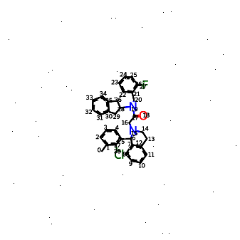 Cc1cccc(C2c3ccccc3CCN2CC(=O)N(Cc2ccccc2F)C2Cc3ccccc3C2)c1Cl